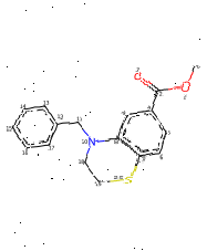 COC(=O)c1ccc2c(c1)N(Cc1ccccc1)CCS2